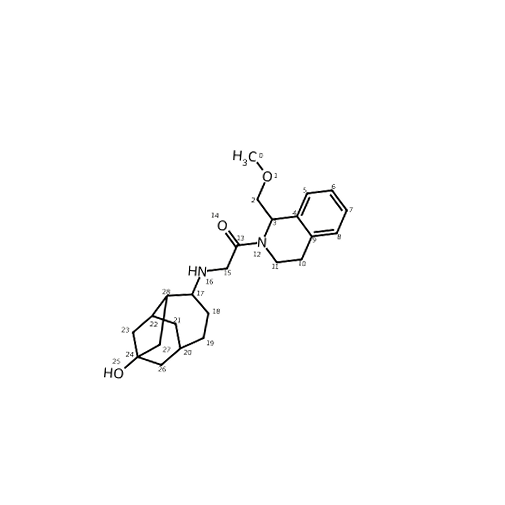 COCC1c2ccccc2CCN1C(=O)CNC1CCC2CC3CC(O)(C2)CC31